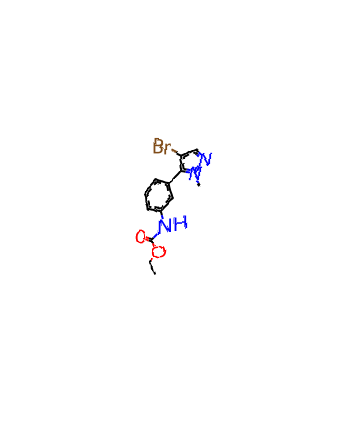 CCOC(=O)Nc1cccc(-c2c(Br)cnn2C)c1